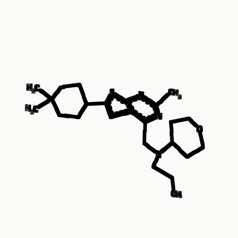 Cc1nc(CN(CCO)C2CCOCC2)c2cc(C3CCC(C)(C)CC3)sc2n1